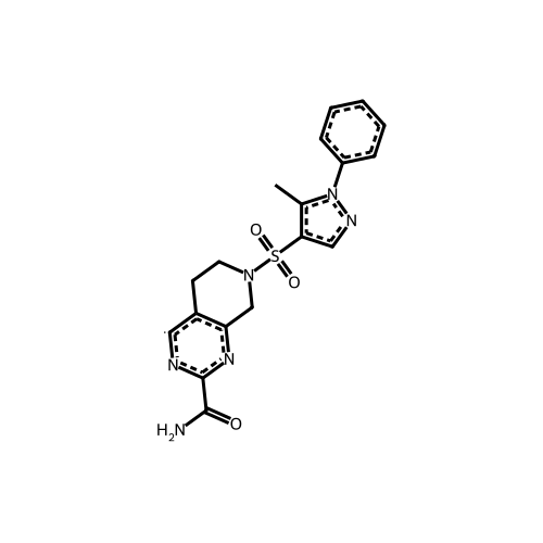 Cc1c(S(=O)(=O)N2CCc3[c]nc(C(N)=O)nc3C2)cnn1-c1ccccc1